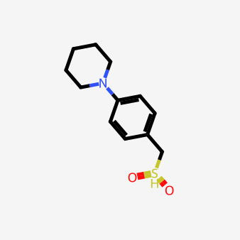 O=[SH](=O)Cc1ccc(N2CCCCC2)cc1